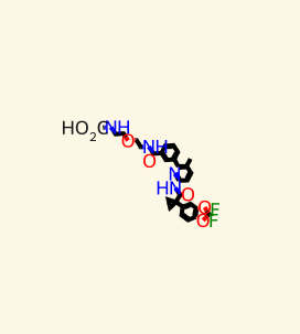 Cc1ccc(NC(=O)C2(c3ccc4c(c3)OC(F)(F)O4)CC2)nc1-c1cccc(C(=O)NCCOCCNC(=O)O)c1